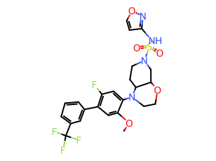 COc1cc(-c2cccc(C(F)(F)F)c2)c(F)cc1N1CCOC2CN(S(=O)(=O)Nc3ccon3)CCC21